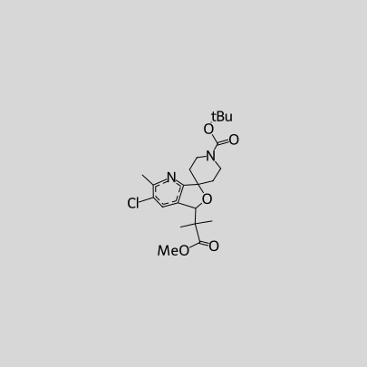 COC(=O)C(C)(C)C1OC2(CCN(C(=O)OC(C)(C)C)CC2)c2nc(C)c(Cl)cc21